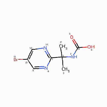 CC(C)(NC(=O)O)c1ncc(Br)cn1